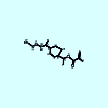 C=C(C)C(=O)OC(C)C1CCC(C(C)POSS)CC1